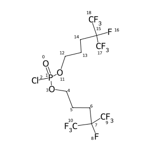 O=P(Cl)(OCCCC(F)(C(F)(F)F)C(F)(F)F)OCCCC(F)(C(F)(F)F)C(F)(F)F